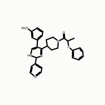 COc1cccc(C2=CNC(c3ccncc3)N=C2C2CCN(C(=O)C(C)Oc3ccccc3)CC2)c1